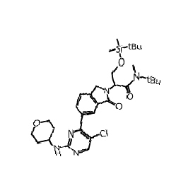 CN(C(=O)C(CO[Si](C)(C)C(C)(C)C)N1Cc2ccc(-c3nc(NC4CCOCC4)ncc3Cl)cc2C1=O)C(C)(C)C